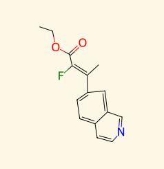 CCOC(=O)C(F)=C(C)c1ccc2ccncc2c1